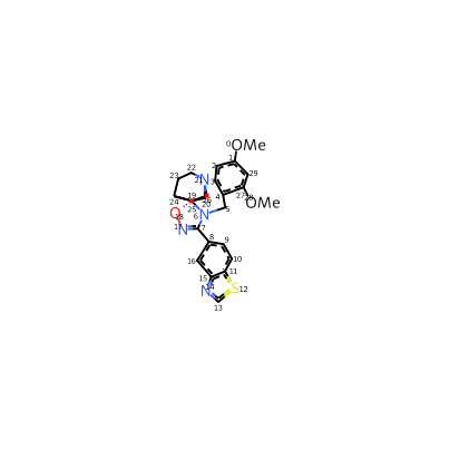 COc1ccc(CN2C(c3ccc4scnc4c3)=NO[C@]23CN2CCC3CC2)c(OC)c1